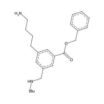 CC(C)(C)NCc1cc(CCCCN)cc(C(=O)OCc2ccccc2)c1